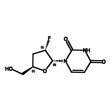 O=c1ccn([C@@H]2O[C@@H](CO)C[C@@H]2F)c(=O)[nH]1